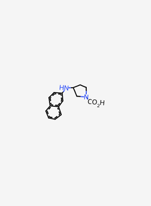 O=C(O)N1CCC(Nc2ccc3ccccc3c2)C1